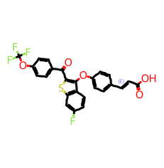 O=C(O)/C=C/c1ccc(Oc2c(C(=O)c3ccc(OC(F)(F)F)cc3)sc3cc(F)ccc23)cc1